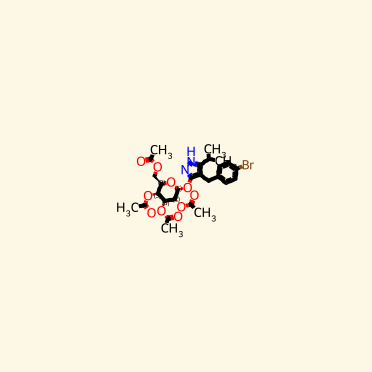 CC(=O)OC[C@H]1O[C@@H](Oc2n[nH]c(C(C)C)c2Cc2ccc(Br)cc2)[C@H](OC(C)=O)[C@@H](OC(C)=O)[C@H]1OC(C)=O